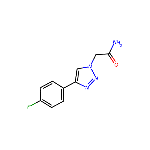 NC(=O)Cn1cc(-c2ccc(F)cc2)nn1